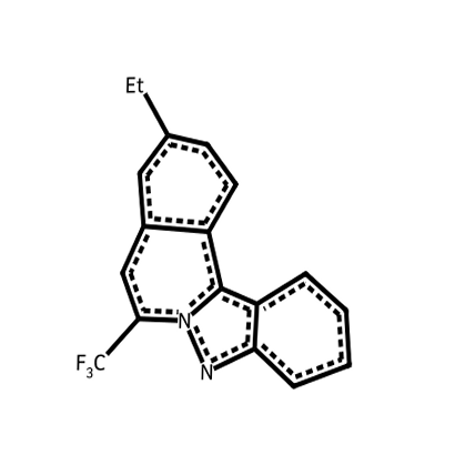 CCc1ccc2c(c1)cc(C(F)(F)F)n1nc3ccccc3c21